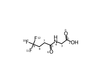 O=C(O)CNC(=O)CCC(F)(F)F